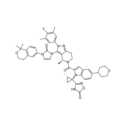 Cc1cc(-n2nc3c(c2-n2ccn(-c4ccc5c(c4)CCOC5(C)C)c2=O)[C@H](C)N(C(=O)c2cc4cc(C5CCOCC5)ccc4n2[C@@]2(c4noc(=O)[nH]4)C[C@@H]2C)CC3)cc(C)c1F